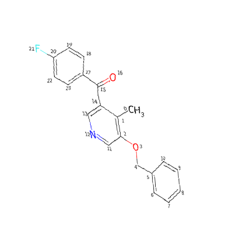 Cc1c(OCc2ccccc2)cncc1C(=O)c1ccc(F)cc1